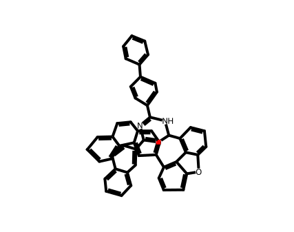 c1ccc(-c2ccc(C3=NC(c4ccc5ccccc5c4)=NC(c4cccc5oc6cccc(-c7ccc8ccc9ccccc9c8c7)c6c45)N3)cc2)cc1